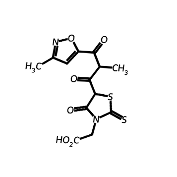 Cc1cc(C(=O)C(C)C(=O)C2SC(=S)N(CC(=O)O)C2=O)on1